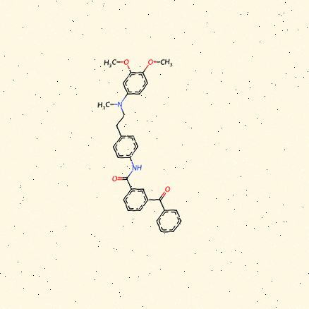 COc1ccc(N(C)CCc2ccc(NC(=O)c3cccc(C(=O)c4ccccc4)c3)cc2)cc1OC